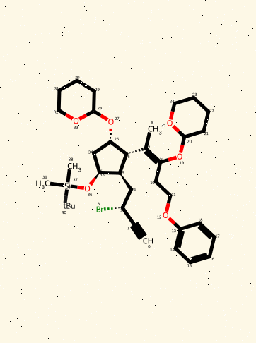 C#C[C@H](Br)C[C@@H]1[C@@H](/C(C)=C(\CCOc2ccccc2)OC2CCCCO2)[C@@H](OC2CCCCO2)C[C@@H]1O[Si](C)(C)C(C)(C)C